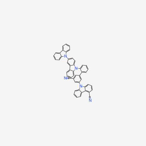 N#Cc1cc(-c2ccccc2-n2c3ccccc3c3cc(-n4c5ccccc5c5ccccc54)ccc32)cc(-n2c3ccccc3c3c(C#N)cccc32)c1